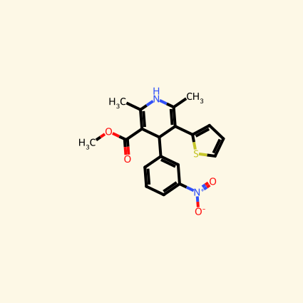 COC(=O)C1=C(C)NC(C)=C(c2cccs2)C1c1cccc([N+](=O)[O-])c1